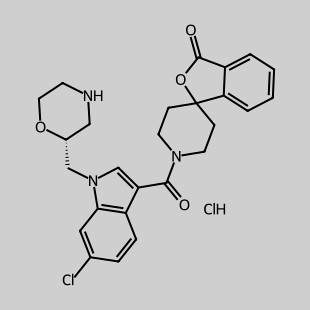 Cl.O=C1OC2(CCN(C(=O)c3cn(C[C@H]4CNCCO4)c4cc(Cl)ccc34)CC2)c2ccccc21